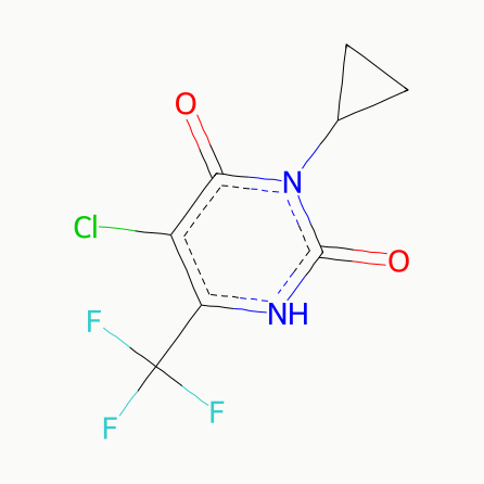 O=c1[nH]c(C(F)(F)F)c(Cl)c(=O)n1C1CC1